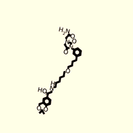 CC1(C)OCc2cc([C@@H](O)CNCCCCCCOCCCCc3cccc(N4C(=O)CN(CC(N)=O)C4=O)c3)ccc2O1